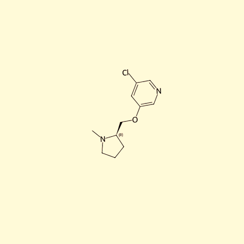 CN1CCC[C@@H]1COc1cncc(Cl)c1